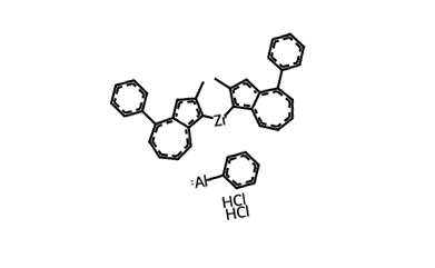 Cc1cc2c(-c3ccccc3)ccccc-2[c]1[Zr][c]1c(C)cc2c(-c3ccccc3)ccccc1-2.Cl.Cl.[Al][c]1ccccc1